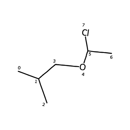 CC(C)COC(C)Cl